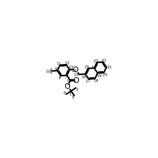 CC(C)(C)OC(=O)c1cc(I)ccc1OCc1ccc2ccccc2c1